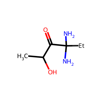 CCC(N)(N)C(=O)C(C)O